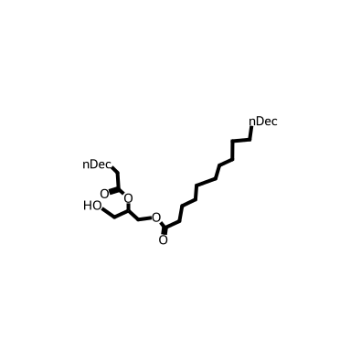 CCCCCCCCCCCCCCCCCCCC(=O)OCC(CO)OC(=O)CCCCCCCCCCC